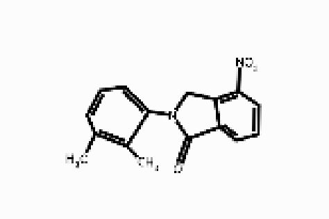 Cc1cccc(N2Cc3c(cccc3[N+](=O)[O-])C2=O)c1C